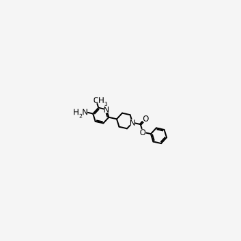 Cc1nc(C2CCN(C(=O)Oc3ccccc3)CC2)ccc1N